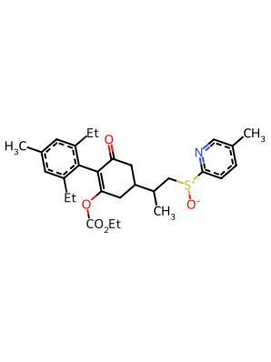 CCOC(=O)OC1=C(c2c(CC)cc(C)cc2CC)C(=O)CC(C(C)C[S+]([O-])c2ccc(C)cn2)C1